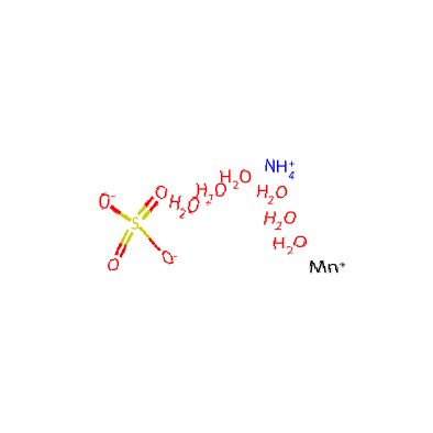 O.O.O.O.O.O.O=S(=O)([O-])[O-].[Mn+].[NH4+]